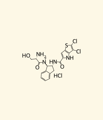 CN(C(=O)[C@@H](N)CO)[C@@H]1c2ccccc2C[C@H]1NC(=O)c1cc2sc(Cl)c(Cl)c2[nH]1.Cl